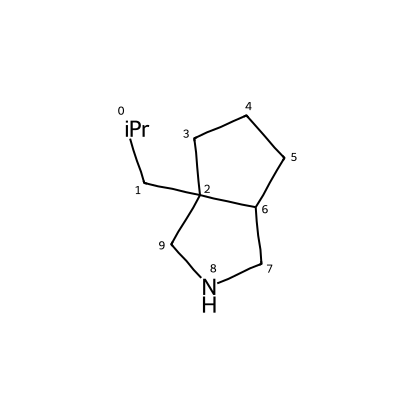 CC(C)CC12CCCC1CNC2